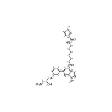 CNCC(O)COc1cccc(-c2cc(NCCCCCCNC(=O)c3ccn(C)n3)c3cnn(C(C)C)c3n2)c1